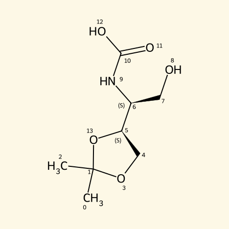 CC1(C)OC[C@H]([C@H](CO)NC(=O)O)O1